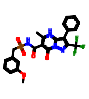 COc1cccc(CS(=O)(=O)NC(=O)c2c(C)[nH]c3c(-c4ccccc4)c(C(F)(F)F)nn3c2=O)c1